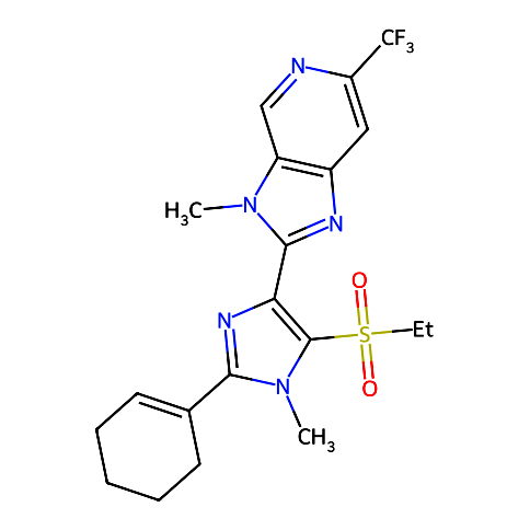 CCS(=O)(=O)c1c(-c2nc3cc(C(F)(F)F)ncc3n2C)nc(C2=CCCCC2)n1C